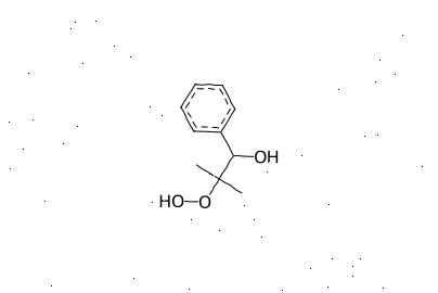 CC(C)(OO)C(O)c1ccccc1